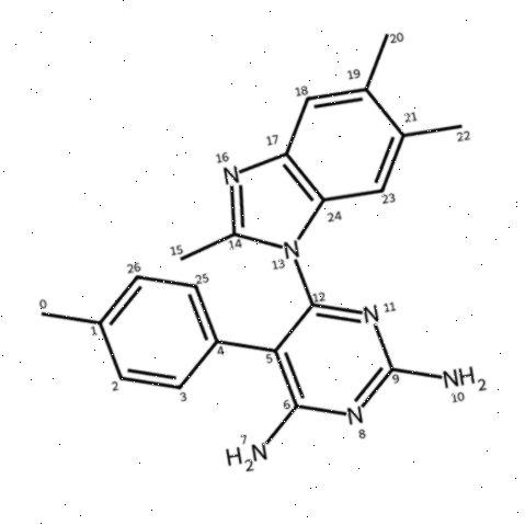 Cc1ccc(-c2c(N)nc(N)nc2-n2c(C)nc3cc(C)c(C)cc32)cc1